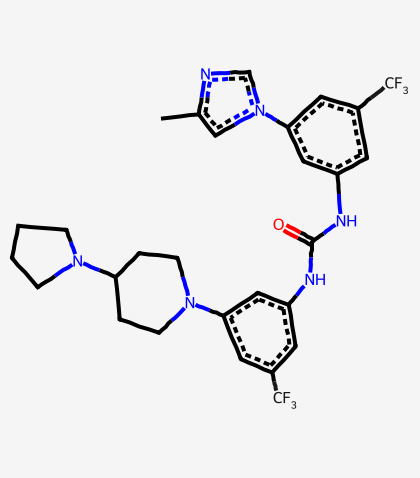 Cc1cn(-c2cc(NC(=O)Nc3cc(N4CCC(N5CCCC5)CC4)cc(C(F)(F)F)c3)cc(C(F)(F)F)c2)cn1